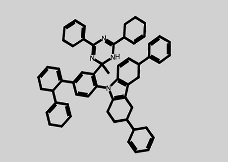 CC1(c2cc(C3=CC=CCC3C3=CCCC=C3)ccc2-n2c3c(c4c2CCC(C2C=CC=CC2)C4)CC(c2ccccc2)C=C3)N=C(C2=CC=CCC2)N=C(C2C=CCCC2)N1